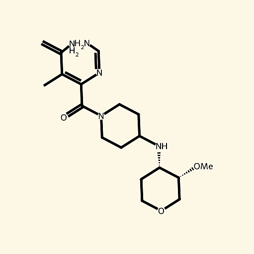 C=C(N)/C(C)=C(\N=C/N)C(=O)N1CCC(N[C@H]2CCOC[C@H]2OC)CC1